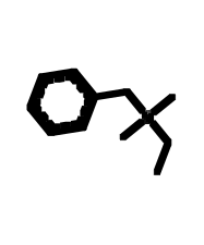 CC[Si](C)(C)Cc1ccccc1